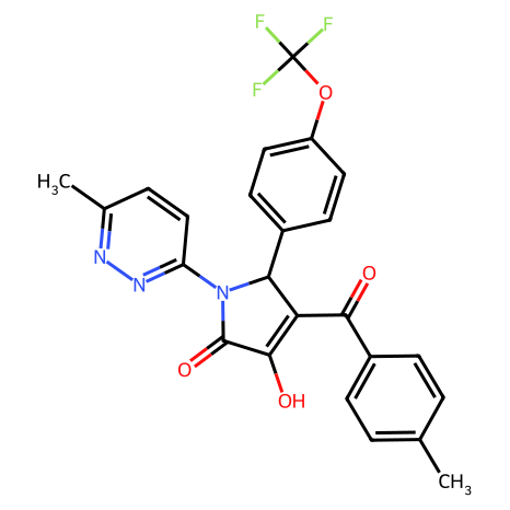 Cc1ccc(C(=O)C2=C(O)C(=O)N(c3ccc(C)nn3)C2c2ccc(OC(F)(F)F)cc2)cc1